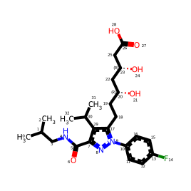 CC(C)CNC(=O)c1nn(-c2ccc(F)cc2)c(CC[C@@H](O)C[C@@H](O)CC(=O)O)c1C(C)C